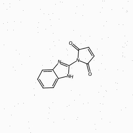 O=C1C=CC(=O)N1c1nc2ccccc2[nH]1